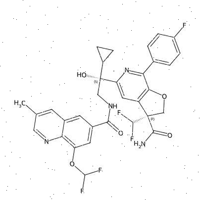 Cc1cnc2c(OC(F)F)cc(C(=O)NC[C@](O)(c3cc4c(c(-c5ccc(F)cc5)n3)OC[C@]4(C(N)=O)C(F)F)C3CC3)cc2c1